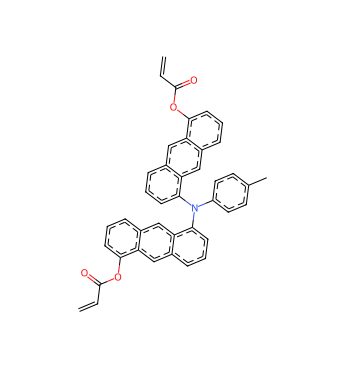 C=CC(=O)Oc1cccc2cc3c(N(c4ccc(C)cc4)c4cccc5cc6c(OC(=O)C=C)cccc6cc45)cccc3cc12